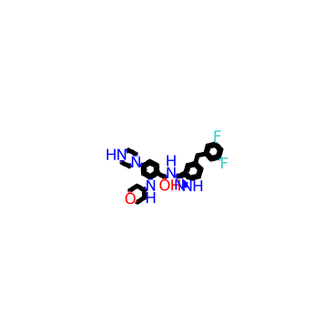 OC(Nc1n[nH]c2ccc(Cc3cc(F)cc(F)c3)cc12)c1ccc(N2CCNCC2)cc1NC1CCOCC1